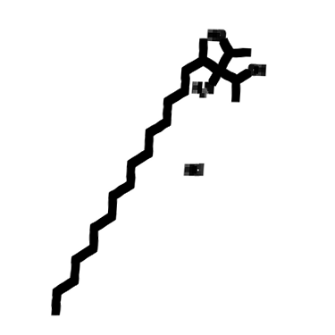 CCCCCCCCCCCCCCCCC(C)C(N)(C(C)O)C(C)O.Cl